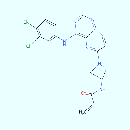 C=CC(=O)NC1CN(c2ccc3ncnc(Nc4ccc(Cl)c(Cl)c4)c3n2)C1